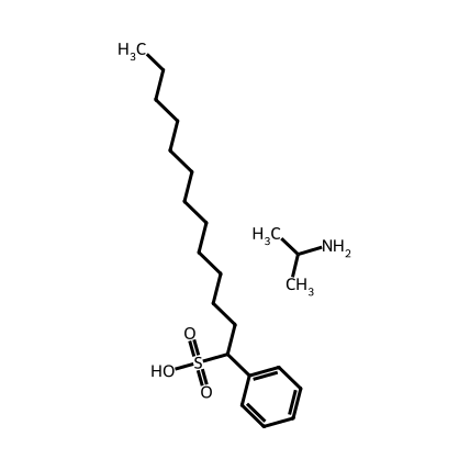 CC(C)N.CCCCCCCCCCCCC(c1ccccc1)S(=O)(=O)O